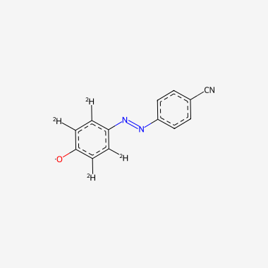 [2H]c1c([2H])c(N=Nc2ccc(C#N)cc2)c([2H])c([2H])c1[O]